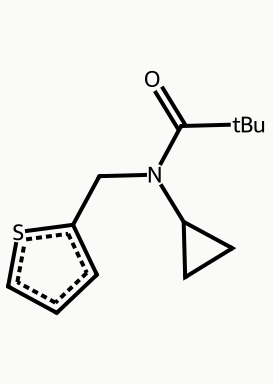 CC(C)(C)C(=O)N(Cc1cccs1)C1CC1